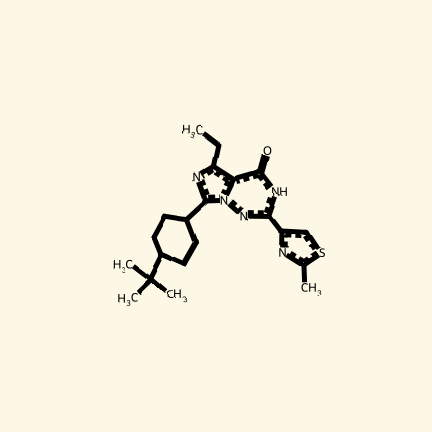 CCc1nc(C2CCC(C(C)(C)C)CC2)n2nc(-c3csc(C)n3)[nH]c(=O)c12